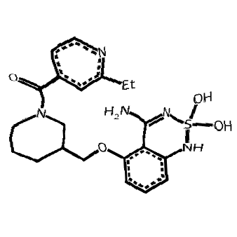 CCc1cc(C(=O)N2CCCC(COc3cccc4c3C(N)=NS(O)(O)N4)C2)ccn1